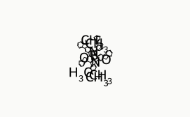 CC(C)(C)c1ccc2c(c1)c1c3c(oc4ccccc43)c3c4c1n2-c1cc2oc5ccccc5c2cc1B4N(c1cccc(-c2ccccc2)c1)c1cc2c(cc1-3)-c1ccccc1C2(C)C